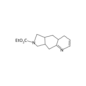 CCOC(=O)N1CC2CC3=NC=CCC3CC2C1